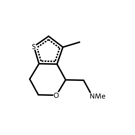 CNCC1OCCc2scc(C)c21